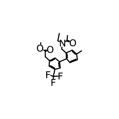 CCN(Cc1cc(C)ccc1-c1cc(CC(=O)OC)cc(C(F)(F)F)c1)C(C)=O